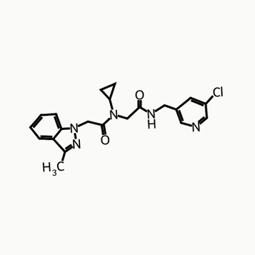 Cc1nn(CC(=O)N(CC(=O)NCc2cncc(Cl)c2)C2CC2)c2ccccc12